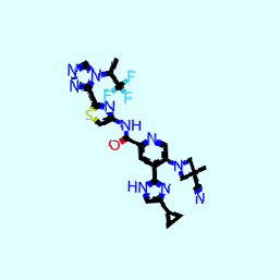 CC(n1cnnc1-c1nc(NC(=O)c2cc(-c3nc(C4CC4)c[nH]3)c(N3CC(C)(C#N)C3)cn2)cs1)C(F)(F)F